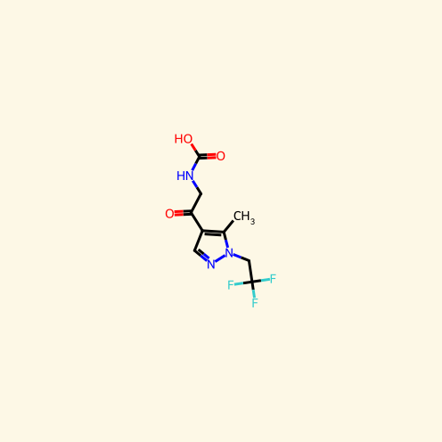 Cc1c(C(=O)CNC(=O)O)cnn1CC(F)(F)F